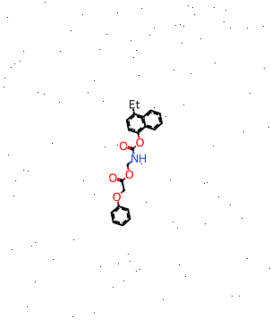 CCc1ccc(OC(=O)NCOC(=O)COc2ccccc2)c2ccccc12